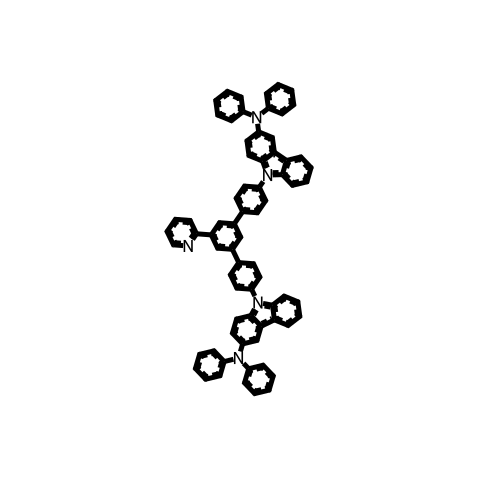 c1ccc(N(c2ccccc2)c2ccc3c(c2)c2ccccc2n3-c2ccc(-c3cc(-c4ccc(-n5c6ccccc6c6cc(N(c7ccccc7)c7ccccc7)ccc65)cc4)cc(-c4ccccn4)c3)cc2)cc1